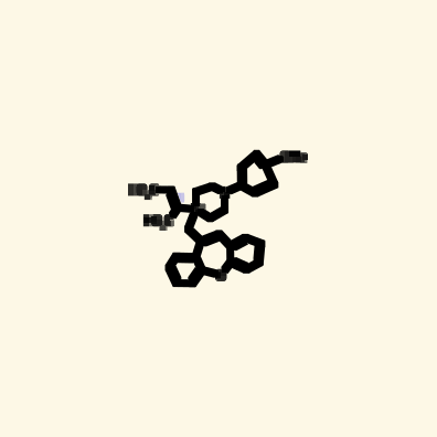 COc1ccc(N2CC[N+](CC3=Cc4ccccc4Oc4ccccc43)(/C(=C/C(=O)O)C(=O)O)CC2)cc1